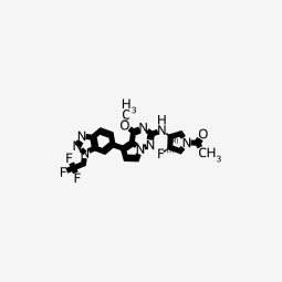 COc1nc(N[C@@H]2CN(C(C)=O)C[C@@H]2F)nn2ccc(-c3ccc4nnn(CC(F)(F)F)c4c3)c12